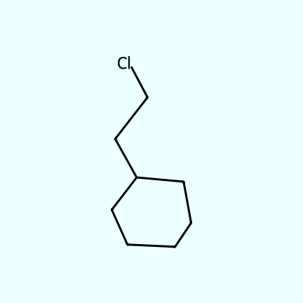 ClCCC1CCCCC1